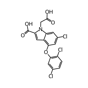 O=C(O)Cn1c(C(=O)O)cc2c(Oc3cc(Cl)ccc3Cl)cc(Cl)cc21